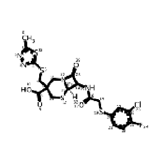 Cc1nnc(SCC2(C(=O)O)CS[C@@H]3C(NC(=O)CSc4ccc(F)c(Cl)c4)C(=O)N3C2)s1